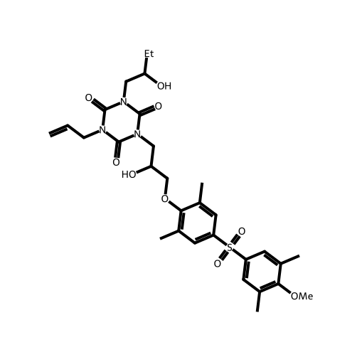 C=CCn1c(=O)n(CC(O)CC)c(=O)n(CC(O)COc2c(C)cc(S(=O)(=O)c3cc(C)c(OC)c(C)c3)cc2C)c1=O